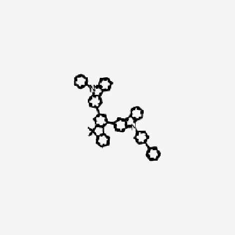 CC1(C)c2ccccc2-c2c(-c3ccc4c(c3)c3ccccc3n4-c3ccc(-c4ccccc4)cc3)cc(-c3ccc4c(c3)c3ccccc3n4-c3ccccc3)cc21